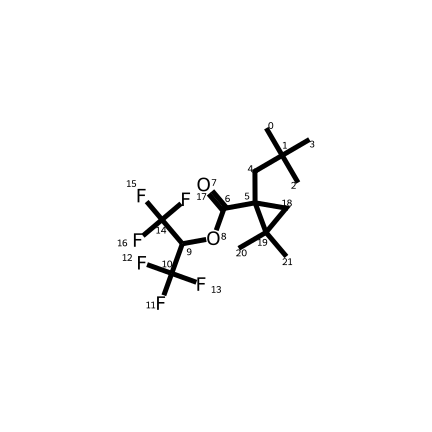 CC(C)(C)CC1(C(=O)OC(C(F)(F)F)C(F)(F)F)CC1(C)C